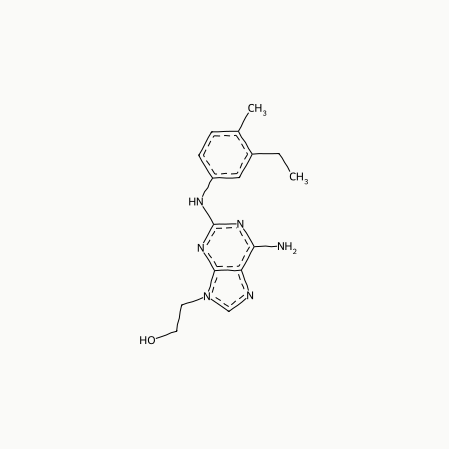 CCc1cc(Nc2nc(N)c3ncn(CCO)c3n2)ccc1C